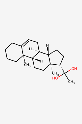 CC(O)(O)[C@H]1CC[C@H]2[C@@H]3CC=C4CCCC[C@]4(C)[C@H]3CC[C@]12C